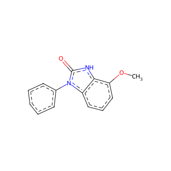 COc1cccc2c1[nH]c(=O)n2-c1ccccc1